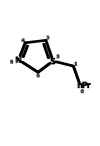 CCCCS1=CC=NC1